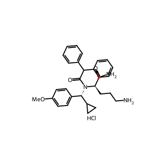 COc1ccc([C@@H](C2CC2)N(C(=O)C(c2ccccc2)c2ccccc2)[C@H](CCCN)C(N)=O)cc1.Cl